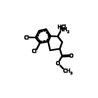 COC(=O)C1Cc2c(ccc(Cl)c2Cl)C(N)C1.Cl